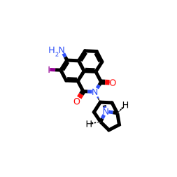 CN1[C@@H]2CC[C@H]1C[C@H](N1C(=O)c3cccc4c(N)c(I)cc(c34)C1=O)C2